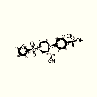 C[C@@](O)(c1ccc(N2CCN(S(=O)(=O)c3cccs3)C[C@H]2CC#N)cc1)C(F)(F)F